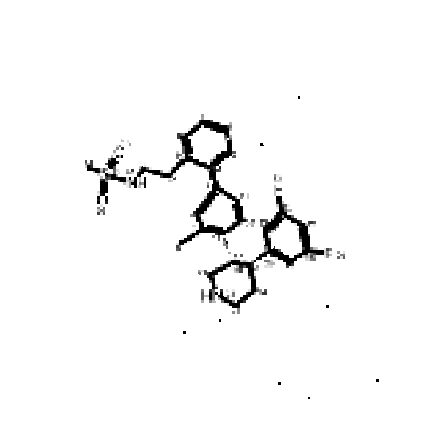 Cc1cc(-c2ccccc2CCNS(C)(=O)=O)ccc1[C@H]1CNCC[C@@H]1c1cc(F)cc(F)c1